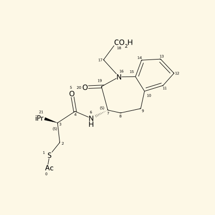 CC(=O)SC[C@H](C(=O)N[C@H]1CCc2ccccc2N(CC(=O)O)C1=O)C(C)C